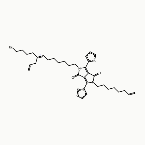 C=CCCCCCCN1C(=O)C2=C(c3cccs3)N(CCCCCC/C=C(\CC=C)CCCCBr)C(=O)C2=C1c1cccs1